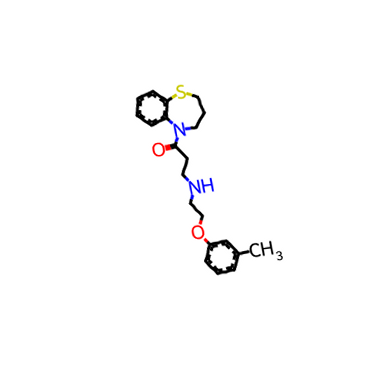 Cc1cccc(OCCNCCC(=O)N2CCCSc3ccccc32)c1